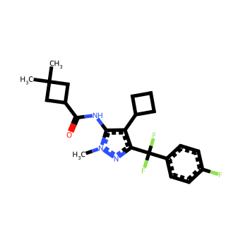 Cn1nc(C(F)(F)c2ccc(F)cc2)c(C2CCC2)c1NC(=O)C1CC(C)(C)C1